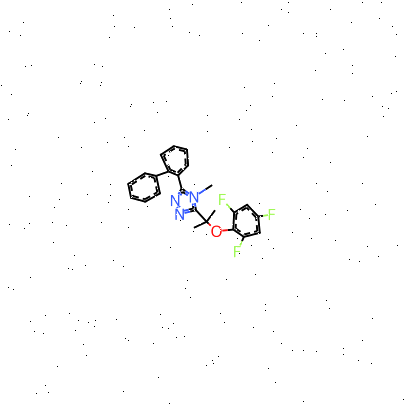 Cn1c(-c2ccccc2-c2ccccc2)nnc1C(C)(C)Oc1c(F)cc(F)cc1F